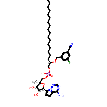 CCCCCCCCCCCCCCCCCC[C@H](COP(=O)(O)OC[C@@]1(C)O[C@@H](c2ccc3c(N)ncnn23)[C@H](O)[C@@H]1O)OCc1cc(F)cc(C#N)c1